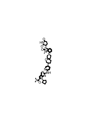 CN(C)C(=O)c1cc2cnc(Nc3ccc([C@@H]4CCC5(CCN(c6cccc7c6n(C)c(=O)n7[C@H]6CCC(=O)NC6=O)CC5)OC4)cn3)nc2n1C1CCCC1